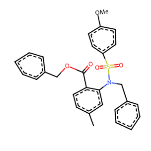 COc1ccc(S(=O)(=O)N(Cc2ccccc2)c2cc(C)ccc2C(=O)OCc2ccccc2)cc1